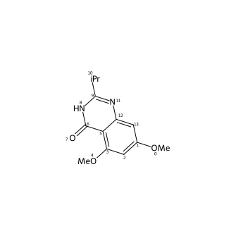 COc1cc(OC)c2c(=O)[nH]c(C(C)C)nc2c1